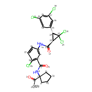 COC(=O)C1(NC(=O)c2cc(NC(=O)[C@H]3[C@H](c4cc(Cl)cc(Cl)c4)C3(Cl)Cl)ccc2Cl)CCCC1